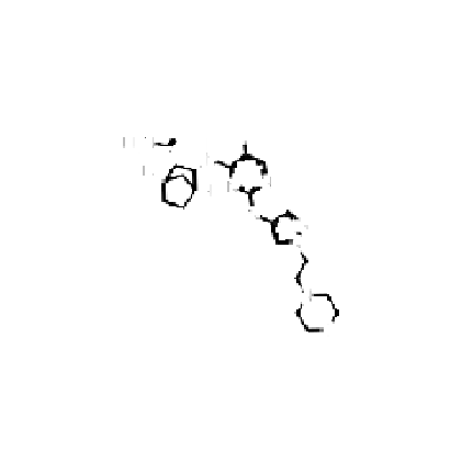 NC(=O)[C@H]1[C@@H]2CC[C@@H](C2)[C@H]1Nc1nc(Nc2cnn(CCN3CCOCC3)c2)ncc1Cl